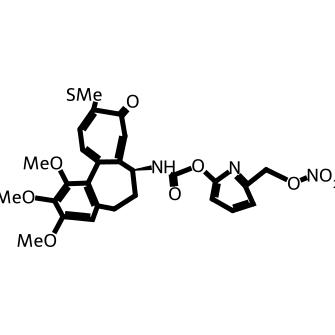 COc1cc2c(c(OC)c1OC)-c1ccc(SC)c(=O)cc1[C@@H](NC(=O)Oc1cccc(CO[N+](=O)[O-])n1)CC2